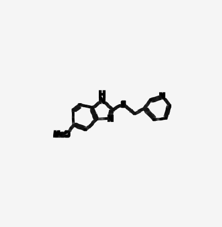 COc1ccc2[nH]c(SCc3cccnc3)nc2c1